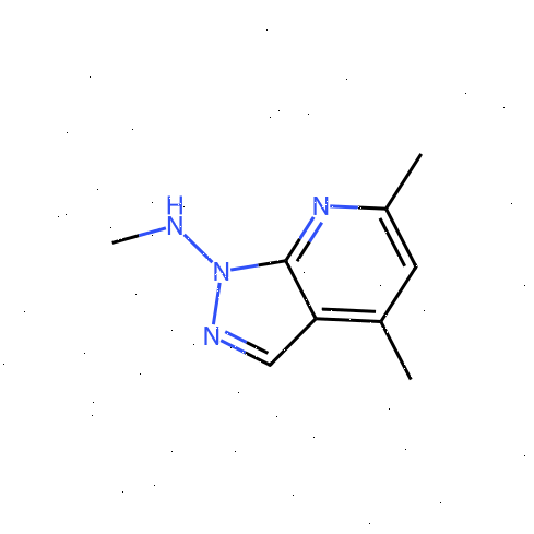 CNn1ncc2c(C)cc(C)nc21